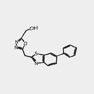 OCc1nnc(Cc2nc3ccc(-c4ccccc4)cc3s2)o1